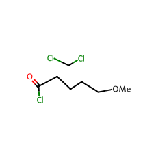 COCCCCC(=O)Cl.ClCCl